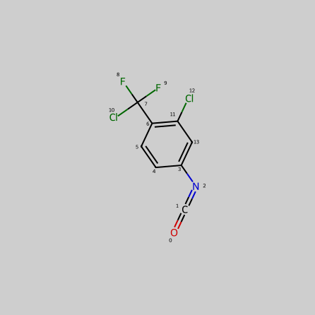 O=C=Nc1ccc(C(F)(F)Cl)c(Cl)c1